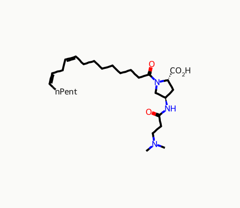 CCCCC/C=C\C/C=C\CCCCCCCC(=O)N1C[C@H](NC(=O)CCN(C)C)C[C@H]1C(=O)O